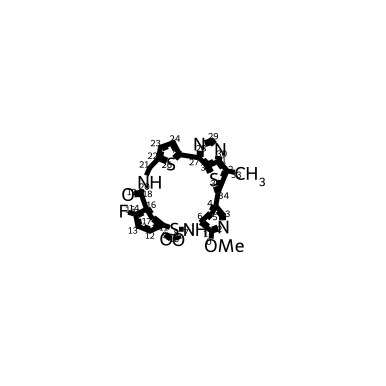 COc1ncc2cc1NS(=O)(=O)c1ccc(F)c(c1)C(=O)NCc1ccc(s1)-c1ncnc3c(C)c-2sc13